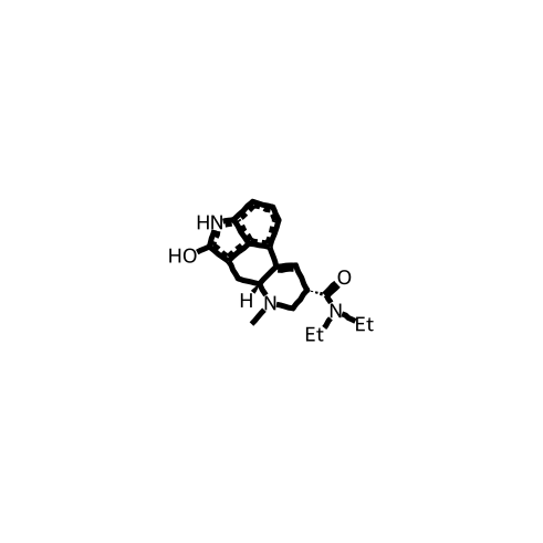 CCN(CC)C(=O)[C@H]1C=C2c3cccc4[nH]c(O)c(c34)C[C@H]2N(C)C1